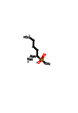 CCCCCCCCCCCCS(=O)(=O)OC(C)=O.[NaH].[NaH]